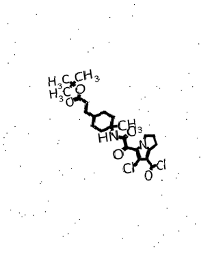 CC1(NC(=O)C(=O)c2c(Cl)c(C(=O)Cl)c3n2CCC3)CCC(CCC(=O)OC(C)(C)C)CC1